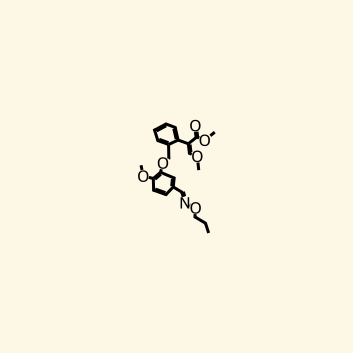 CCCO/N=C/c1ccc(OC)c(OCc2ccccc2/C(=C/OC)C(=O)OC)c1